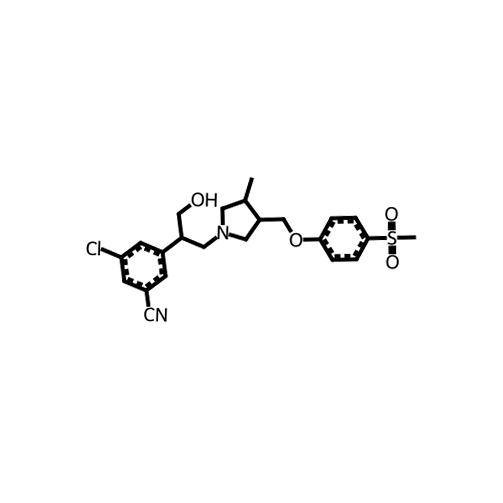 CC1CN(CC(CO)c2cc(Cl)cc(C#N)c2)CC1COc1ccc(S(C)(=O)=O)cc1